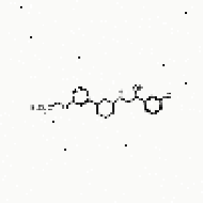 CCOC(=O)COc1cccc(C2CCCC(NCC(O)c3cccc(Cl)c3)C2)c1